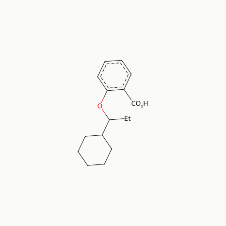 CCC(Oc1ccccc1C(=O)O)C1CCCCC1